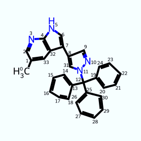 Cc1cnc2[nH]cc(-c3cnn(C(c4ccccc4)(c4ccccc4)c4ccccc4)c3)c2c1